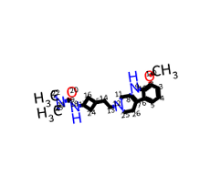 COc1cccc2c3c([nH]c12)CN(CCC1CC(NC(=O)N(C)C)C1)CC3